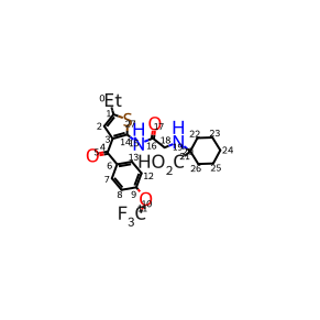 CCc1cc(C(=O)c2ccc(OC(F)(F)F)cc2)c(NC(=O)CNC2(C(=O)O)CCCCC2)s1